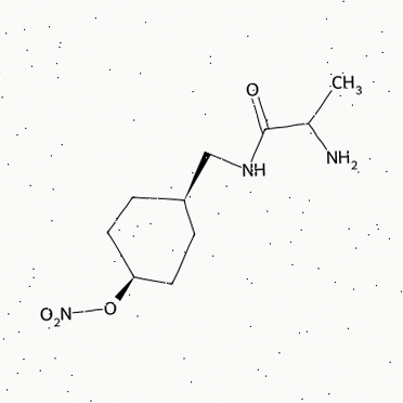 CC(N)C(=O)NC[C@H]1CC[C@@H](O[N+](=O)[O-])CC1